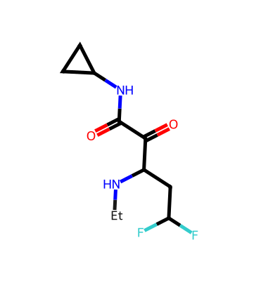 CCNC(CC(F)F)C(=O)C(=O)NC1CC1